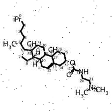 CC(C)CCC[C@@H](C)[C@H]1CC[C@H]2[C@@H]3CC=C4C[C@@H](OC(=O)NCCN(C)C)CC[C@]4(C)C3CC[C@]12C